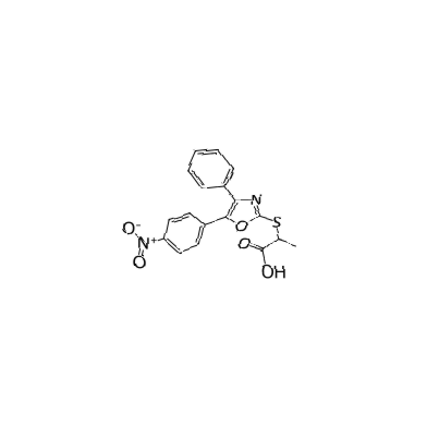 CC(Sc1nc(-c2ccccc2)c(-c2ccc([N+](=O)[O-])cc2)o1)C(=O)O